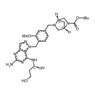 CCC[C@@H](CCO)Nc1nc(N)nc2cnn(Cc3ccc(CN4C[C@@H]5C[C@H]4CN5C(=O)OC(C)(C)C)cc3OC)c12